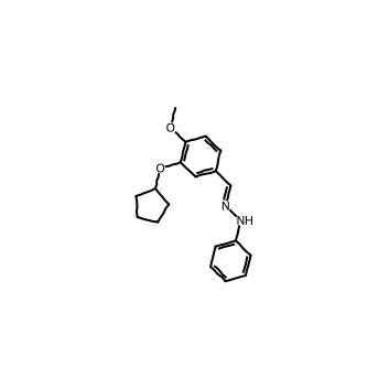 COc1ccc(C=NNc2ccccc2)cc1OC1CCCC1